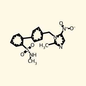 CNS(=O)(=O)c1ccccc1-c1ccc(Cn2c([N+](=O)[O-])cnc2C)cc1